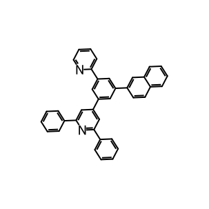 c1ccc(-c2cc(-c3cc(-c4ccc5ccccc5c4)cc(-c4ccccn4)c3)cc(-c3ccccc3)n2)cc1